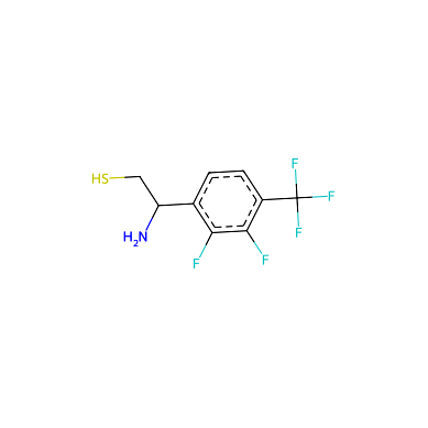 NC(CS)c1ccc(C(F)(F)F)c(F)c1F